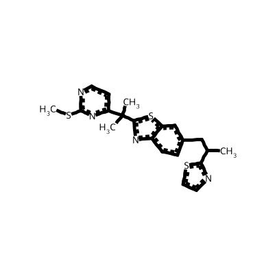 CSc1nccc(C(C)(C)c2nc3ccc(CC(C)c4nccs4)cc3s2)n1